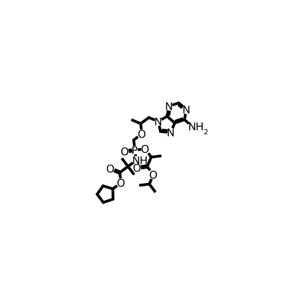 CC(C)OC(=O)C(C)OP(=O)(COC(C)Cn1cnc2c(N)ncnc21)NC(C)(C)C(=O)OC1CCCC1